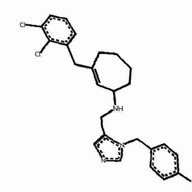 N#Cc1ccc(Cn2cncc2CNC2C=C(Cc3cccc(Cl)c3Cl)CCCC2)cc1